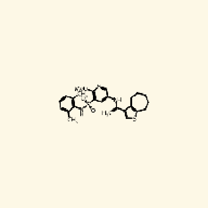 C=C(Nc1cnc(OC)c(S(=O)(=O)Nc2c(C)cccc2C)c1)c1csc2c1CCCCC2